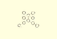 c1ccc(-c2ccccc2-c2cc(-c3ccccc3-c3ccccc3)nc(-c3cc(-c4ccc(-c5ccccn5)cc4)cc(-c4ccc(-c5ccccn5)cc4)c3)n2)cc1